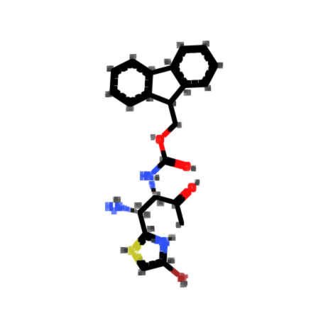 CC(=O)[C@@H](NC(=O)OCC1c2ccccc2-c2ccccc21)[C@@H](N)c1nc(Br)cs1